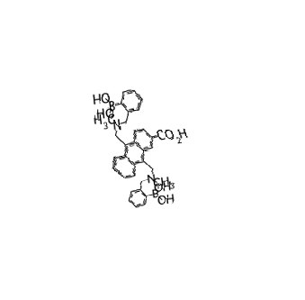 CN(Cc1ccccc1B(O)O)Cc1c2ccccc2c(CN(C)Cc2ccccc2B(O)O)c2cc(C(=O)O)ccc12